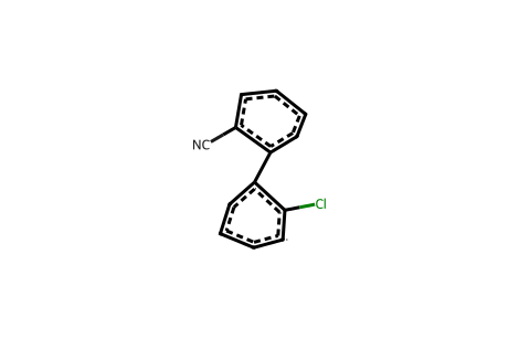 N#Cc1ccccc1-c1ccc[c]c1Cl